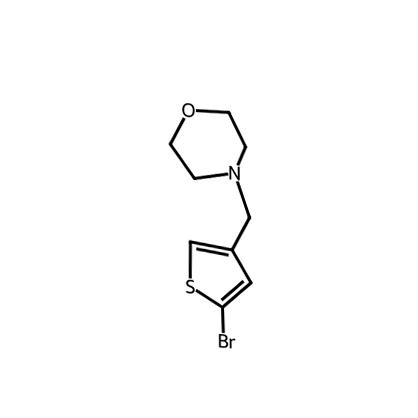 Brc1cc(CN2CCOCC2)cs1